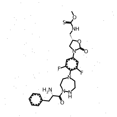 COC(=S)NC[C@H]1CN(c2cc(F)c(N3CCNN(C(=O)[C@@H](N)Cc4ccccc4)CC3)c(F)c2)C(=O)O1